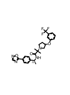 C[C@H](NC(=O)C(C)(C)N1CC[C@@H](Oc2cccc(C(F)(F)F)c2)C1)c1ccc(-c2ncno2)cc1